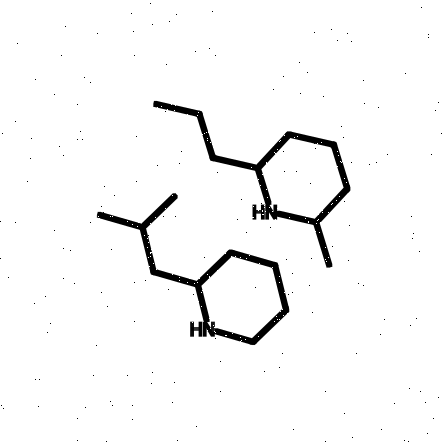 CC(C)CC1CCCCN1.CCCC1CCCC(C)N1